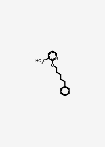 O=C(O)c1cccnc1OCCCCCc1ccccc1